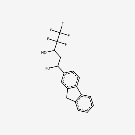 OC(CC(O)C(F)(F)C(F)(F)F)c1ccc2c(c1)Cc1ccccc1-2